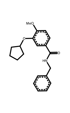 COc1ccc(C(=O)NCc2ccccc2)cc1OC1CCCC1